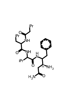 CC(C)CC(=O)NC(CC(C)C)C(=O)NC(C(=O)NC(Cc1ccccc1)[C@@H](N)CC(N)=O)C(C)C